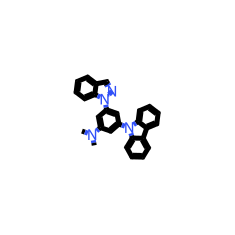 CN(C)c1cc(-n2ncc3ccccc32)cc(-n2c3ccccc3c3ccccc32)c1